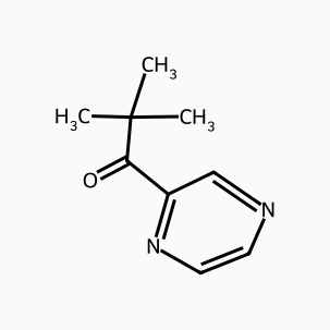 CC(C)(C)C(=O)c1cnccn1